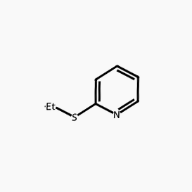 C[CH]Sc1ccccn1